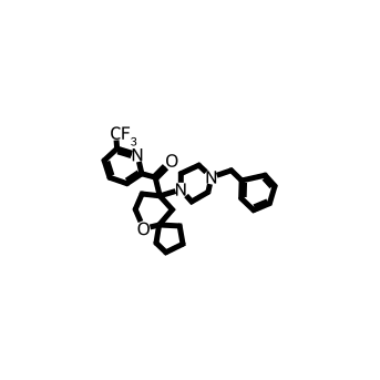 O=C(c1cccc(C(F)(F)F)n1)C1(N2CCN(Cc3ccccc3)CC2)CCOC2(CCCC2)C1